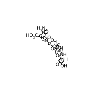 Nc1nc(C(=NOCC(=O)O)C(=O)N[C@H]2CN(C(=O)NS(=O)(=O)n3ncn(NC(=O)c4cc(=O)c(O)c[nH]4)c3=O)C2=O)cs1